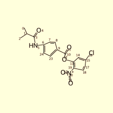 CC(C)C(=O)Nc1ccc(C(=O)Oc2cc(Cl)ccc2[N+](=O)[O-])cc1